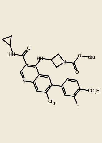 CC(C)(C)OC(=O)N1CC(Nc2c(C(=O)NC3CC3)cnc3cc(C(F)(F)F)c(-c4ccc(C(=O)O)c(F)c4)cc23)C1